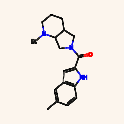 CCN1CCCC2CN(C(=O)c3cc4cc(C)ccc4[nH]3)CC21